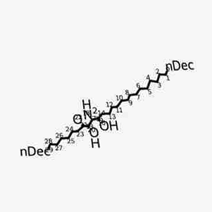 CCCCCCCCCCCCCCCCCCCCCCCCC(O)C(N)C(O)C(=O)CCCCCCCCCCCCCCCC